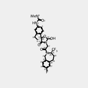 CNC(=O)Nc1ccc2c(c1)CC[C@@]21OC(O)N(CC(=O)N2Cc3ccc(F)cc3CC[C@@H]2C(F)(F)F)C1=O